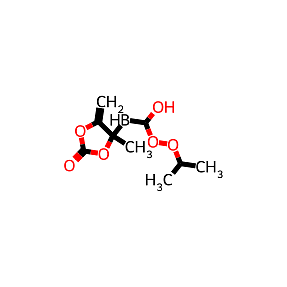 C=C1OC(=O)OC1(C)BC(O)OOC(C)C